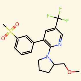 COCC1CCCN1c1ncc(C(F)(F)F)cc1-c1cccc(S(C)(=O)=O)c1